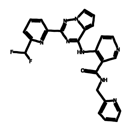 O=C(NCc1ccccn1)c1cnccc1Nc1nc(-c2cccc(C(F)F)n2)nn2cccc12